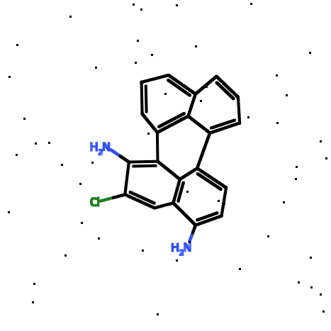 Nc1ccc2c3cccc4cccc(c5c(N)c(Cl)cc1c25)c43